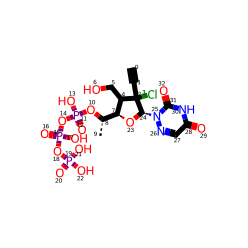 C#CC1(Cl)C(CO)[C@@H]([C@H](C)OP(=O)(O)OP(=O)(O)OP(=O)(O)O)O[C@H]1n1ncc(=O)[nH]c1=O